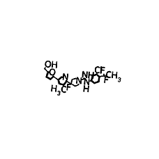 Cc1cc(-c2ccc(CO)o2)cnc1C1(F)CCN(C(=N)Nc2ccc(C(C)(F)F)c(Cl)c2)CC1